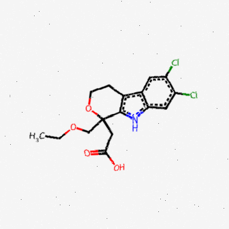 CCOCC1(CC(=O)O)OCCc2c1[nH]c1cc(Cl)c(Cl)cc21